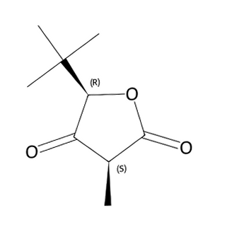 C[C@@H]1C(=O)O[C@H](C(C)(C)C)C1=O